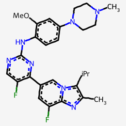 COc1cc(N2CCN(C)CC2)ccc1Nc1ncc(F)c(-c2cc(F)c3nc(C)c(C(C)C)n3c2)n1